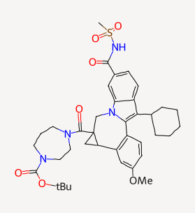 COc1ccc2c(c1)C1CC1(C(=O)N1CCCN(C(=O)OC(C)(C)C)CC1)Cn1c-2c(C2CCCCC2)c2ccc(C(=O)NS(C)(=O)=O)cc21